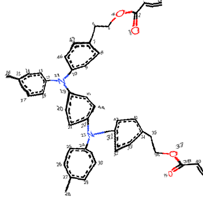 C=CC(=O)OCCc1ccc(N(c2ccc(C)cc2)c2ccc(N(c3ccc(C)cc3)c3ccc(CCOC(=O)C=C)cc3)cc2)cc1